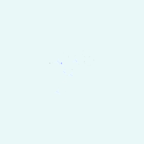 C#Cc1cccc2cccc(-c3ncc4c(N5C[C@H]6CC[C@@H](C5)N6C(=O)O)nc(OCC56CCCN5CCC6)nc4c3F)c12